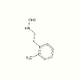 O=CNCCc1ccccc1C(F)(F)F